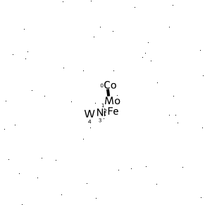 [Co][Mo].[Fe].[Ni].[W]